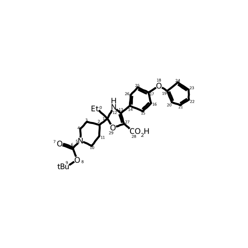 CCC1(C2CCN(C(=O)OC(C)(C)C)CC2)NC(c2ccc(Oc3ccccc3)cc2)=C(C(=O)O)O1